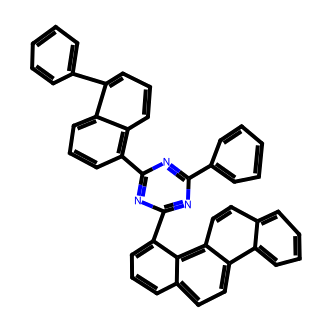 c1ccc(-c2nc(-c3cccc4c(-c5ccccc5)cccc34)nc(-c3cccc4ccc5c6ccccc6ccc5c34)n2)cc1